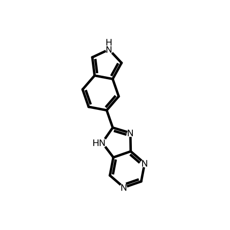 c1ncc2[nH]c(-c3ccc4c[nH]cc4c3)nc2n1